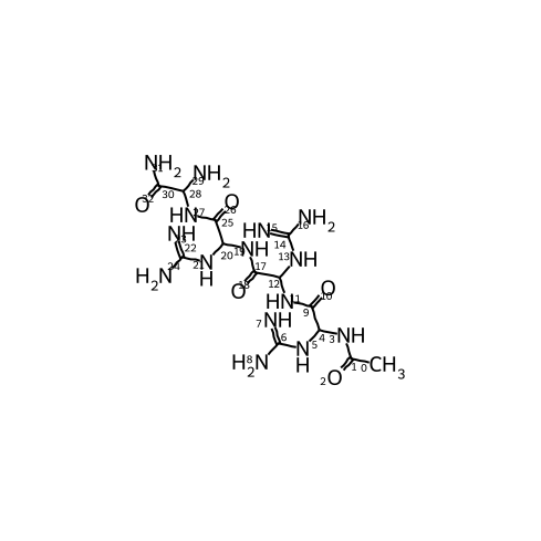 CC(=O)NC(NC(=N)N)C(=O)NC(NC(=N)N)C(=O)NC(NC(=N)N)C(=O)NC(N)C(N)=O